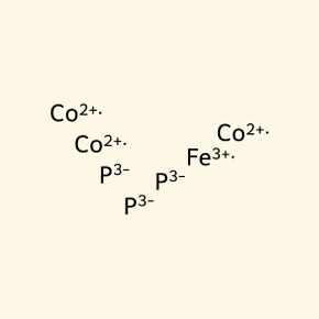 [Co+2].[Co+2].[Co+2].[Fe+3].[P-3].[P-3].[P-3]